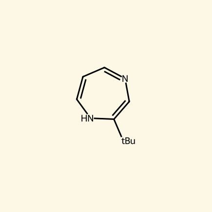 CC(C)(C)C1=CN=CC=CN1